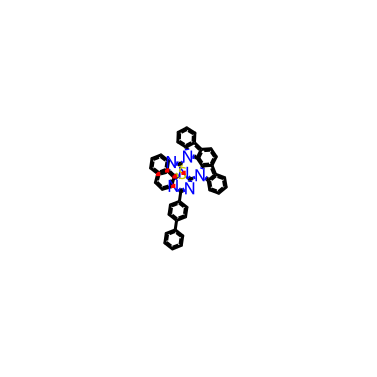 c1ccc(-c2ccc(-c3nc(-c4ccccc4)nc(-n4c5ccccc5c5ccc6c7ccccc7n(-c7nc8ccccc8s7)c6c54)n3)cc2)cc1